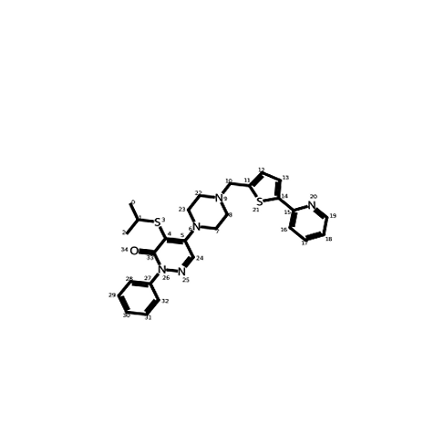 CC(C)Sc1c(N2CCN(Cc3ccc(-c4ccccn4)s3)CC2)cnn(-c2ccccc2)c1=O